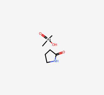 C[As](C)(=O)O.O=C1CCCN1